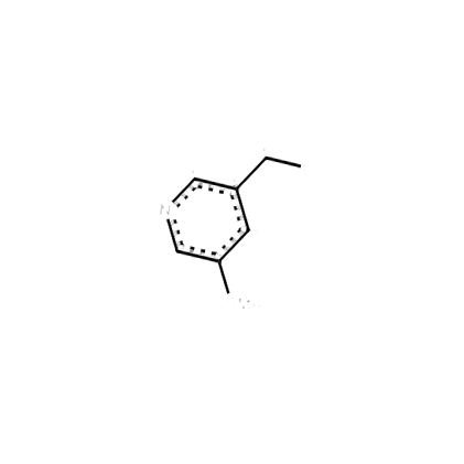 CSc1cncc(CCl)c1